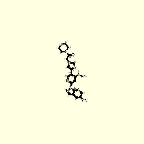 CC(C)Nc1cc(-n2ncc3cc(C#N)cnc32)ncc1-c1cn(CC(=O)N2CCOCC2)cn1